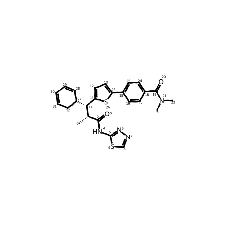 C[C@@H](C(=O)Nc1nncs1)[C@@H](c1ccc(-c2ccc(C(=O)N(C)C)cc2)s1)C1C=CC=CC1